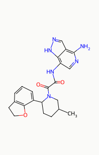 CC1CCC(c2cccc3c2OCC3)N(C(=O)C(=O)Nc2cnc(N)c3cn[nH]c23)C1